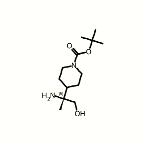 CC(C)(C)OC(=O)N1CCC([C@@](C)(N)CO)CC1